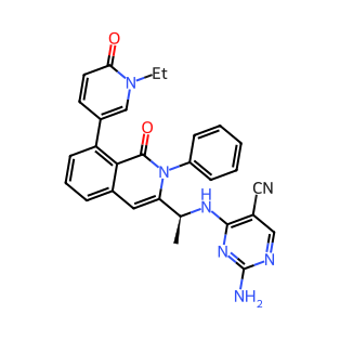 CCn1cc(-c2cccc3cc([C@H](C)Nc4nc(N)ncc4C#N)n(-c4ccccc4)c(=O)c23)ccc1=O